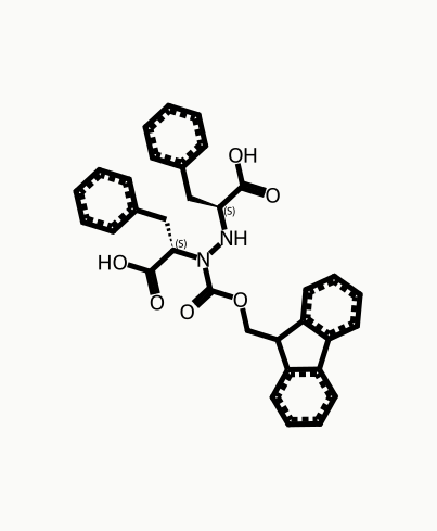 O=C(O)[C@H](Cc1ccccc1)NN(C(=O)OCC1c2ccccc2-c2ccccc21)[C@@H](Cc1ccccc1)C(=O)O